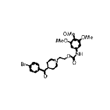 COc1cc(NC(=O)OCCN2CCC(C(=O)c3ccc(Br)cc3)CC2)cc(OC)c1OC